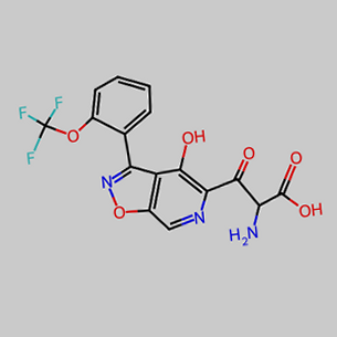 NC(C(=O)O)C(=O)c1ncc2onc(-c3ccccc3OC(F)(F)F)c2c1O